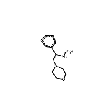 O=C(O)NC(CN1CCOCC1)c1ccccc1